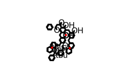 CC(C)(C)[Si](Oc1ccccc1Cc1ccc(O)c(Cc2c(O)c(Cc3cc(Cc4ccccc4O[Si](c4ccccc4)(c4ccccc4)C(C)(C)C)ccc3O)c3c(c2O)C(=O)C[C@@H](c2ccccc2)O3)c1)(c1ccccc1)c1ccccc1